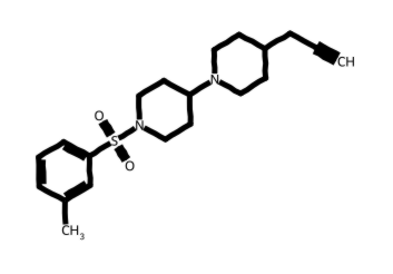 C#CCC1CCN(C2CCN(S(=O)(=O)c3cccc(C)c3)CC2)CC1